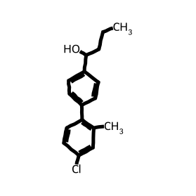 CCCC(O)c1ccc(-c2ccc(Cl)cc2C)cc1